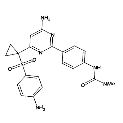 CNC(=O)Nc1ccc(-c2nc(N)cc(C3(S(=O)(=O)c4ccc(N)cc4)CC3)n2)cc1